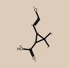 CC1(C)C(C=CCl)C1C(=O)O